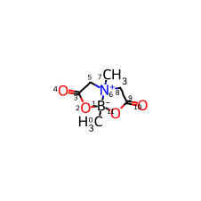 C[B-]12OC(=O)C[N+]1(C)CC(=O)O2